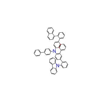 c1ccc(-c2ccc(N(c3ccc(-c4ccccc4-c4cccc5ccccc45)cc3)c3ccc(-c4ccccc4-n4c5ccccc5c5ccccc54)cc3-c3ccccc3)cc2)cc1